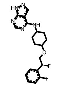 Fc1ccccc1[C@H](F)COC1CCC(Nc2ncnc3[nH]ncc23)CC1